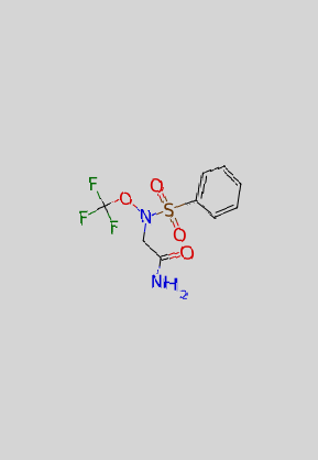 NC(=O)CN(OC(F)(F)F)S(=O)(=O)c1ccccc1